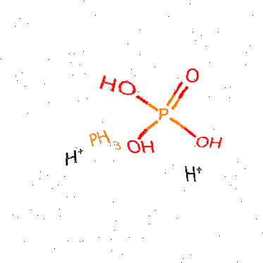 O=P(O)(O)O.P.[H+].[H+]